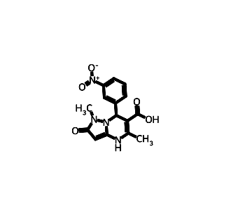 CC1=C(C(=O)O)C(c2cccc([N+](=O)[O-])c2)n2c(cc(=O)n2C)N1